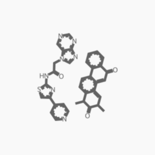 CC1C=c2c(ccc3c2=CC(=O)c2ccccc2-3)C(C)C1=O.O=C(Cn1cnc2ncncc21)Nc1nc(-c2ccncc2)cs1